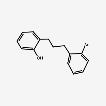 CC(=O)c1ccccc1CCCc1ccccc1O